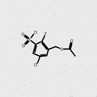 CC(=O)OCc1cc(Cl)cc(S(=O)(=O)Cl)c1F